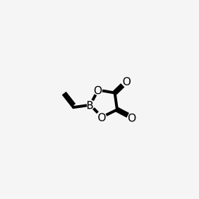 C=CB1OC(=O)C(=O)O1